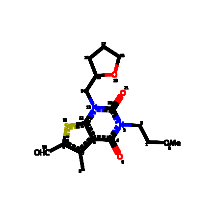 COCCn1c(=O)c2c(C)c(C=O)sc2n(CC2CCCO2)c1=O